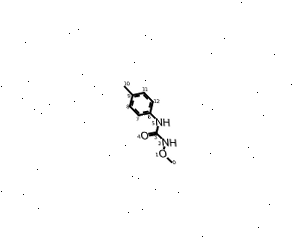 CONC(=O)Nc1ccc(C)cc1